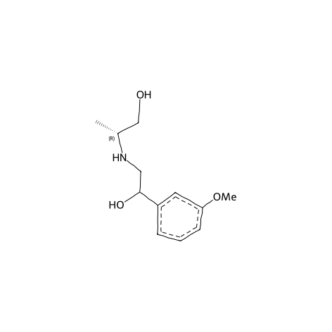 COc1cccc(C(O)CN[C@H](C)CO)c1